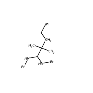 CCNC(NCC)C(C)(C)[SiH2]CC(C)C